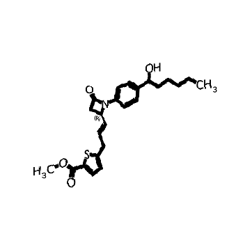 CCCCCC(O)c1ccc(N2C(=O)C[C@@H]2C=CCc2ccc(C(=O)OC)s2)cc1